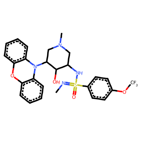 CN=S(=O)(NC1CN(C)CC(N2c3ccccc3Oc3ccccc32)C1O)c1ccc(OC(F)(F)F)cc1